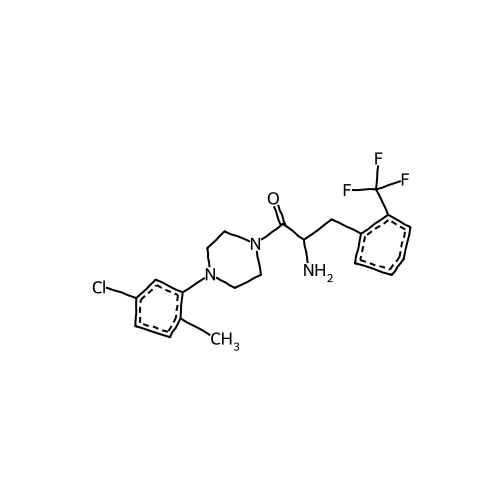 Cc1ccc(Cl)cc1N1CCN(C(=O)C(N)Cc2ccccc2C(F)(F)F)CC1